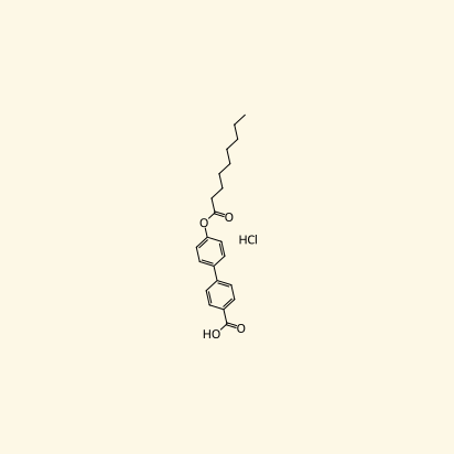 CCCCCCCCC(=O)Oc1ccc(-c2ccc(C(=O)O)cc2)cc1.Cl